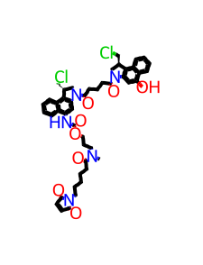 CN(CCCOC(=O)Nc1cc2c(c3ccccc13)[C@H](CCl)CN2C(=O)CCCC(=O)N1C[C@@H](CCl)c2c1cc(O)c1ccccc21)C(=O)CCCCCN1C(=O)C=CC1=O